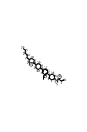 C=CC(=O)N(C)C1CCC(c2ccc(C3CCC(C4CCC(CCCCC)CO4)CC3)cc2F)CC1